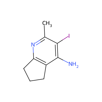 Cc1nc2c(c(N)c1I)CCC2